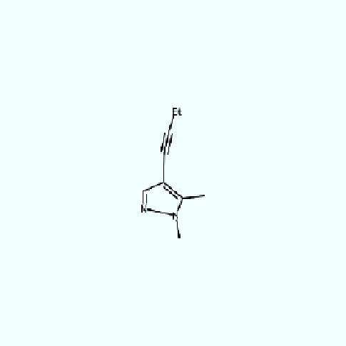 CCC#Cc1cnn(C)c1C